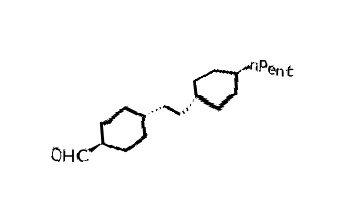 CCCCC[C@H]1CC[C@H](CC[C@H]2CC[C@H](C=O)CC2)CC1